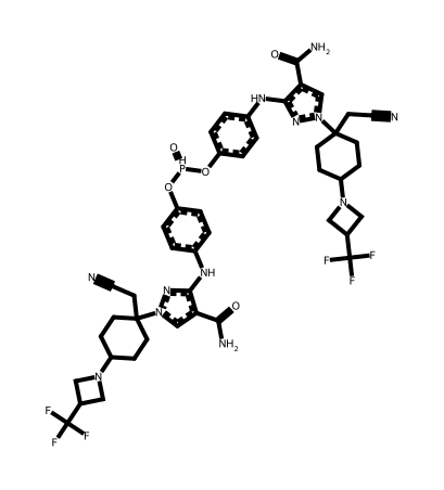 N#CCC1(n2cc(C(N)=O)c(Nc3ccc(O[PH](=O)Oc4ccc(Nc5nn(C6(CC#N)CCC(N7CC(C(F)(F)F)C7)CC6)cc5C(N)=O)cc4)cc3)n2)CCC(N2CC(C(F)(F)F)C2)CC1